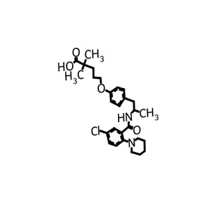 CC(Cc1ccc(OCCCC(C)(C)C(=O)O)cc1)NC(=O)c1cc(Cl)ccc1N1CCCCC1